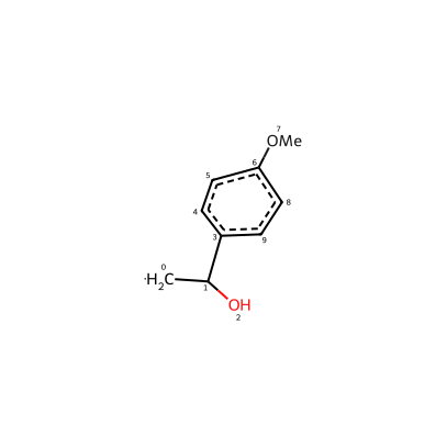 [CH2]C(O)c1ccc(OC)cc1